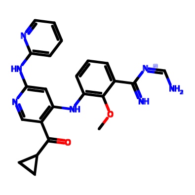 COc1c(Nc2cc(Nc3ccccn3)ncc2C(=O)C2CC2)cccc1C(=N)/N=C\N